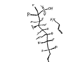 C=CCN.CCCC(F)(F)C(F)(F)C(F)(F)C(F)(F)C(F)(F)C(F)(F)C(F)(F)S(=O)(=O)O